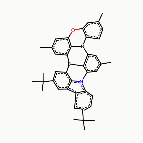 Cc1ccc2c(c1)Oc1cc(C)cc3c1B2c1cc(C)cc2c1B3c1cc(C(C)(C)C)cc3c4cc(C(C)(C)C)ccc4n-2c13